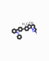 CC1(C)c2cc(-c3ccc4c5ccccc5n(-c5ccccc5)c4c3)ccc2-c2c1ccc1cc(I)nn21